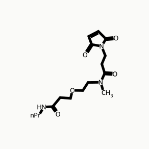 CCCNC(=O)CCOCCN(C)C(=O)CCN1C(=O)C=CC1=O